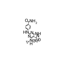 CS(=O)(=O)c1n[nH]c2nc(Nc3ccc(C(N)=O)cc3)nc(NC3CC3)c12